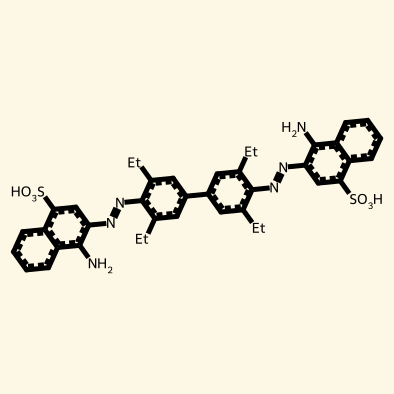 CCc1cc(-c2cc(CC)c(/N=N/c3cc(S(=O)(=O)O)c4ccccc4c3N)c(CC)c2)cc(CC)c1/N=N/c1cc(S(=O)(=O)O)c2ccccc2c1N